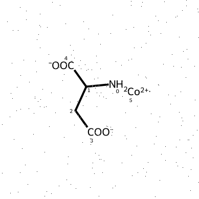 NC(CC(=O)[O-])C(=O)[O-].[Co+2]